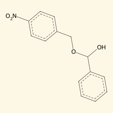 O=[N+]([O-])c1ccc(COC(O)c2ccccc2)cc1